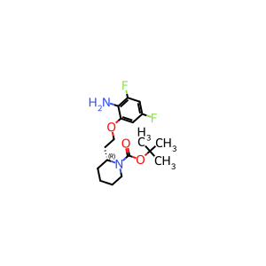 CC(C)(C)OC(=O)N1CCCC[C@@H]1CCOc1cc(F)cc(F)c1N